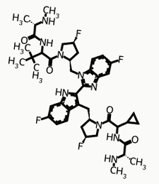 CN[C@@H](C)C(=O)NC(C(=O)N1C[C@@H](F)C[C@H]1Cc1c(-c2nc3cc(F)ccc3n2C[C@@H]2C[C@H](F)CN2C(=O)C(NC(=O)[C@H](C)NC)C(C)(C)C)[nH]c2cc(F)ccc12)C1CC1